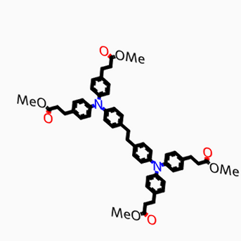 COC(=O)CCc1ccc(N(c2ccc(CCC(=O)OC)cc2)c2ccc(CCc3ccc(N(c4ccc(CCC(=O)OC)cc4)c4ccc(CCC(=O)OC)cc4)cc3)cc2)cc1